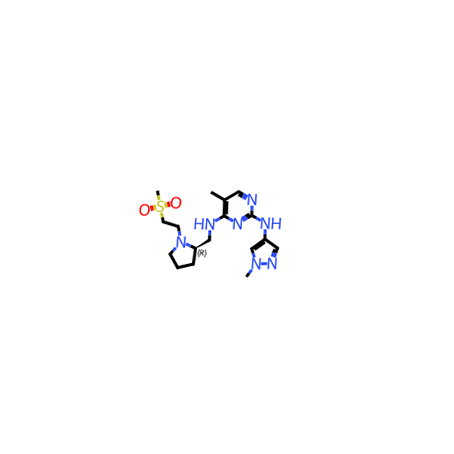 Cc1cnc(Nc2cnn(C)c2)nc1NC[C@H]1CCCN1CCS(C)(=O)=O